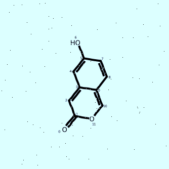 O=c1cc2cc(O)ccc2co1